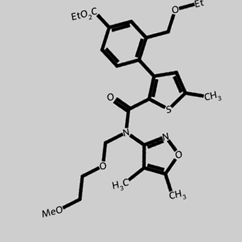 CCOCc1cc(C(=O)OCC)ccc1-c1cc(C)sc1C(=O)N(COCCOC)c1noc(C)c1C